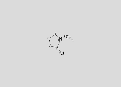 CN1CC[CH]C1Cl